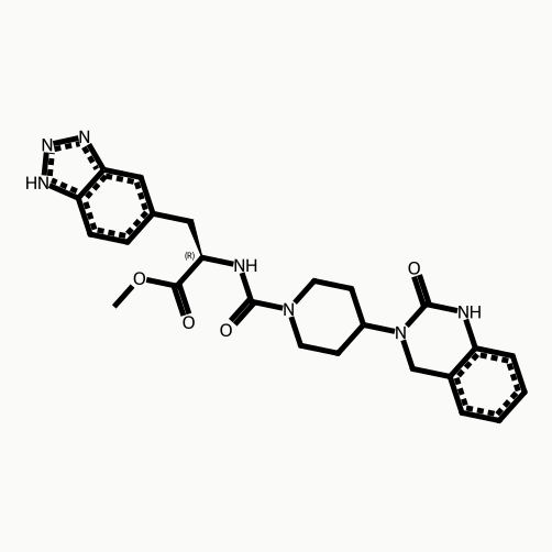 COC(=O)[C@@H](Cc1ccc2[nH]nnc2c1)NC(=O)N1CCC(N2Cc3ccccc3NC2=O)CC1